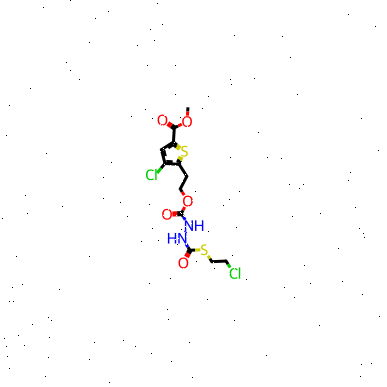 COC(=O)c1cc(Cl)c(CCOC(=O)NNC(=O)SCCCl)s1